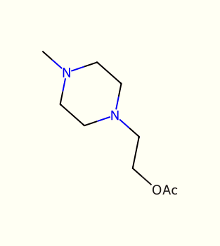 CC(=O)OCCN1CCN(C)CC1